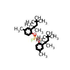 Cc1ccc(OP(F)Oc2ccc(C)cc2C(C)(C)CC(C)(C)C)c(C(C)(C)CC(C)(C)C)c1